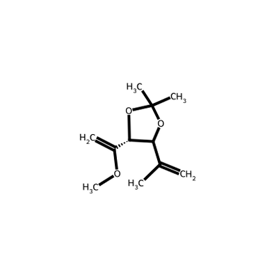 C=C(C)C1OC(C)(C)O[C@H]1C(=C)OC